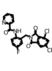 O=C(Nc1ccc(F)cc1CN1C(=O)c2cc(Cl)cc(Cl)c2C1=O)c1ccccn1